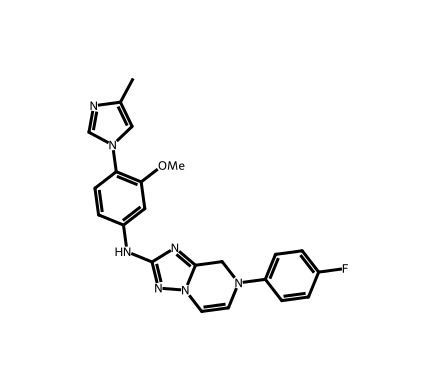 COc1cc(Nc2nc3n(n2)C=CN(c2ccc(F)cc2)C3)ccc1-n1cnc(C)c1